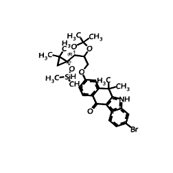 C[SiH](C)O[C@]1([C@@H]2OC(C)(C)OC2COc2ccc3c(c2)C(C)(C)c2[nH]c4cc(Br)ccc4c2C3=O)CC1(C)C